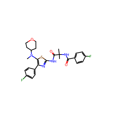 CN(c1sc(NC(=O)C(C)(C)NC(=O)c2ccc(F)cc2)nc1-c1ccc(F)cc1)C1CCOCC1